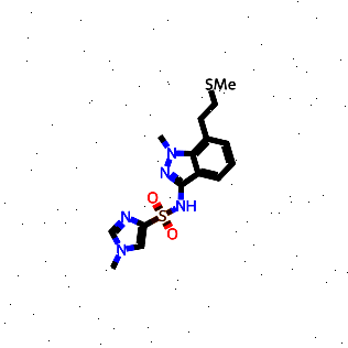 CSCCc1cccc2c(NS(=O)(=O)c3cn(C)cn3)nn(C)c12